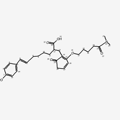 COc1ccc(/C=C/CCCCC(CC2=C(OCCCCC(=O)N(C)C)C=CCC2=O)C(=O)O)cc1